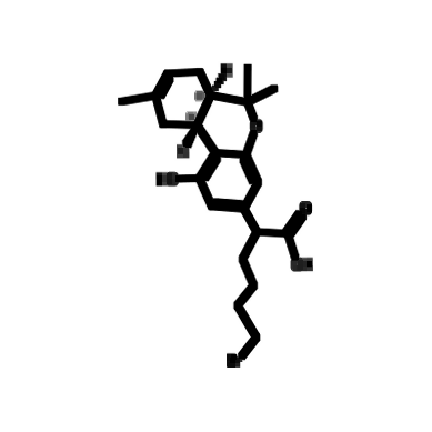 CC1=CC[C@@H]2[C@@H](C1)c1c(O)cc(C(CCCCBr)C(=O)O)cc1OC2(C)C